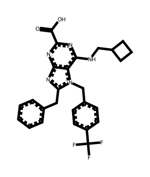 O=C(O)c1nc(NCC2CCC2)c2c(n1)nc(Cc1ccccc1)n2Cc1ccc(C(F)(F)F)cc1